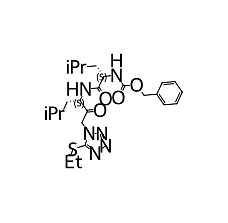 CCSc1nnnn1CC(=O)[C@H](CC(C)C)NC(=O)[C@H](CC(C)C)NC(=O)OCc1ccccc1